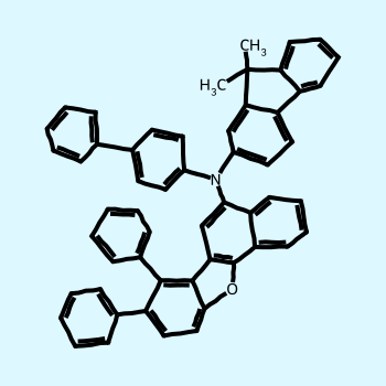 CC1(C)c2ccccc2-c2ccc(N(c3ccc(-c4ccccc4)cc3)c3cc4c(oc5ccc(-c6ccccc6)c(-c6ccccc6)c54)c4ccccc34)cc21